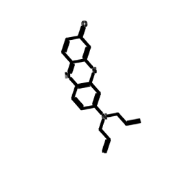 C=CCN(CC=C)c1ccc2nc3ccc(=O)cc-3sc2c1